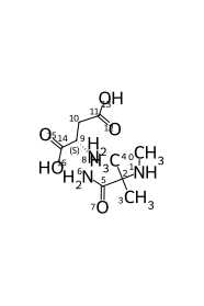 CNC(C)(C)C(N)=O.N[C@@H](CC(=O)O)C(=O)O